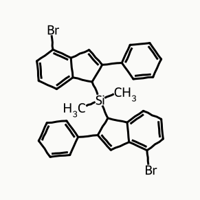 C[Si](C)(C1C(c2ccccc2)=Cc2c(Br)cccc21)C1C(c2ccccc2)=Cc2c(Br)cccc21